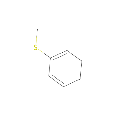 CSC1=CCCC=C1